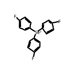 Fc1ccc([Se+](c2ccc(F)cc2)c2ccc(F)cc2)cc1